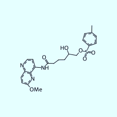 COc1ccc2nccc(NC(=O)CCCC(O)COS(=O)(=O)c3ccc(C)cc3)c2n1